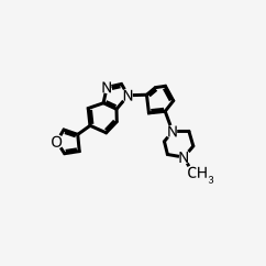 CN1CCN(c2cccc(-n3cnc4cc(-c5ccoc5)ccc43)c2)CC1